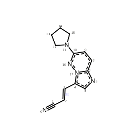 N#C/C=C/c1cnc2ccc(N3CCCC3)nn12